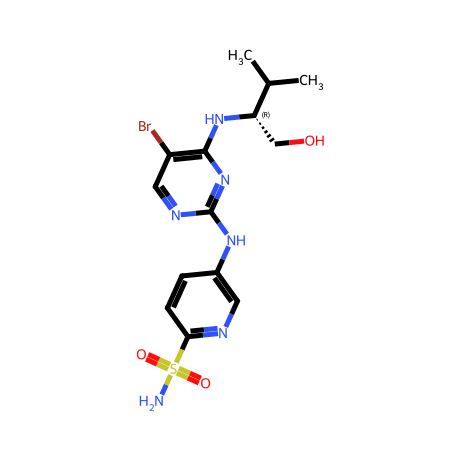 CC(C)[C@H](CO)Nc1nc(Nc2ccc(S(N)(=O)=O)nc2)ncc1Br